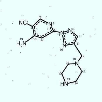 N#Cc1cnc(-n2ncc(CN3CCNCC3)n2)cc1N